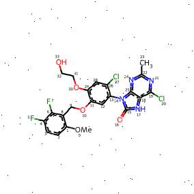 COc1ccc(F)c(F)c1COc1cc(-n2c(=O)[nH]c3c(Cl)nc(C)nc32)c(Cl)cc1OCCO